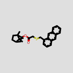 CC1(C)C2CCC1(C)C(OC(=O)CSCc1cccc3cc4ccccc4cc13)C2